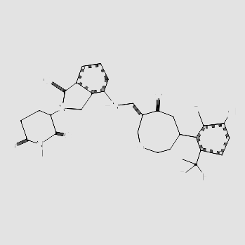 O=C1CCC(N2Cc3c(N/C=C4\COCCC(c5c(C(F)(F)F)ccc(Cl)c5F)CC4=O)cccc3C2=O)C(=O)N1